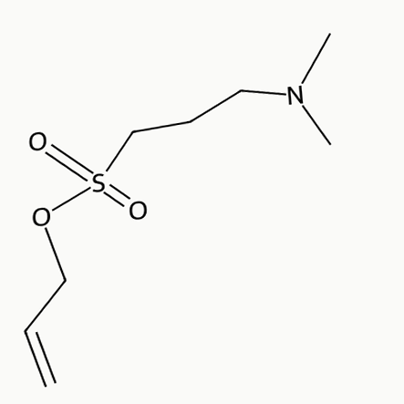 C=CCOS(=O)(=O)CCCN(C)C